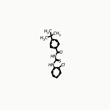 CC(C)(C)c1ccc(C(=O)NC(=S)Nc2ccccc2Cl)cc1